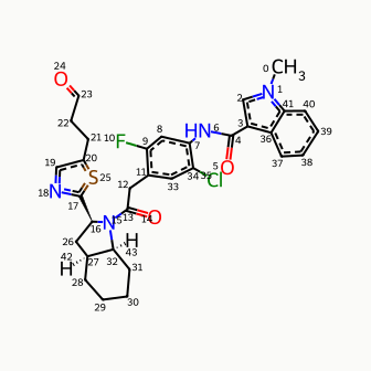 Cn1cc(C(=O)Nc2cc(F)c(CC(=O)N3[C@H](c4ncc(CCC=O)s4)C[C@@H]4CCCC[C@@H]43)cc2Cl)c2ccccc21